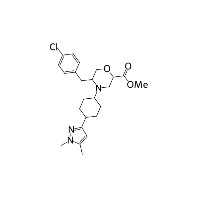 COC(=O)C1CN(C2CCC(c3cc(C)n(C)n3)CC2)C(Cc2ccc(Cl)cc2)CO1